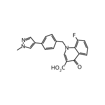 Cn1cc(-c2ccc(Cn3cc(C(=O)O)c(=O)c4cccc(F)c43)cc2)cn1